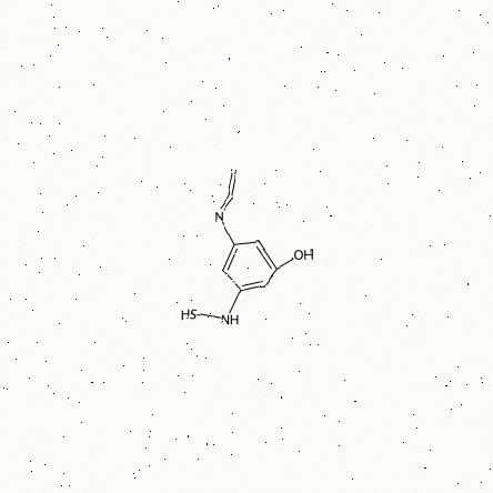 C=C=Nc1cc(O)cc(NS)c1